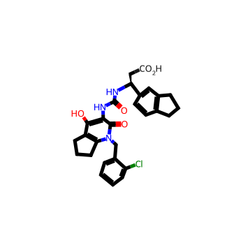 O=C(O)C[C@H](NC(=O)Nc1c(O)c2c(n(Cc3ccccc3Cl)c1=O)CCC2)c1ccc2c(c1)CCC2